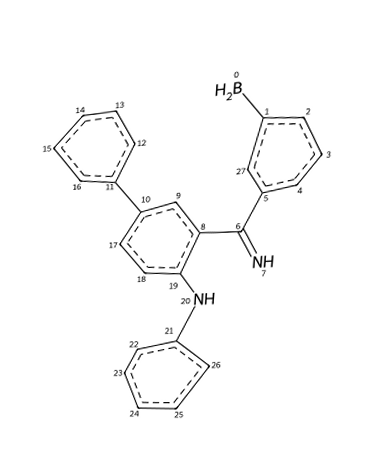 Bc1cccc(C(=N)c2cc(-c3ccccc3)ccc2Nc2ccccc2)c1